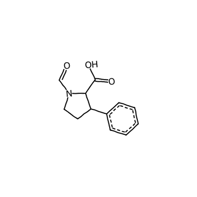 O=CN1CCC(c2ccccc2)C1C(=O)O